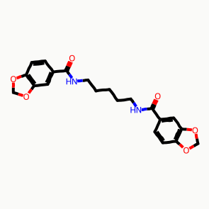 O=C(NCCCCCNC(=O)c1ccc2c(c1)OCO2)c1ccc2c(c1)OCO2